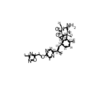 Cc1noc(COc2cnc(/C(F)=C/c3ccc(F)c([C@@]4(C)N=C(N)N(C)S(=O)(=O)C45CC5)c3)cn2)n1